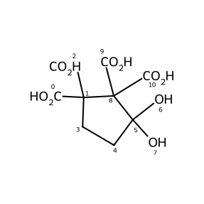 O=C(O)C1(C(=O)O)CCC(O)(O)C1(C(=O)O)C(=O)O